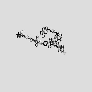 CC(C)C(NC(=O)C(C)(C)CCOCCC(=O)ON1C(=O)CCC1=O)C(=O)N[C@H](CCCNC(N)=O)C(=O)Nc1ccc(COC(=O)NCCOCCOCCNC(=O)C(C)(C)C)cc1